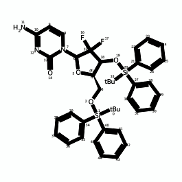 CC(C)(C)[Si](OC[C@H]1OC(n2ccc(N)nc2=O)C(F)(F)C1O[Si](c1ccccc1)(c1ccccc1)C(C)(C)C)(c1ccccc1)c1ccccc1